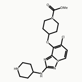 COC(=O)N1CCC(Oc2c(Cl)ccn3nc(NC4CCNCC4)nc23)CC1